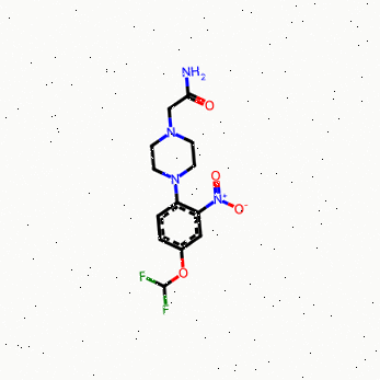 NC(=O)CN1CCN(c2ccc(OC(F)F)cc2[N+](=O)[O-])CC1